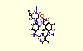 Cc1cnc(Nc2ccc(N3CCNC(C)C3)nc2)nc1Nc1ccc2oc(=O)[nH]c2c1